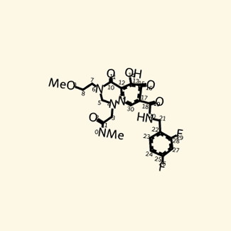 CNC(=O)CN1CN(CCOC)C(=O)c2c(O)c(=O)c(C(=O)NCc3ccc(F)cc3F)cn21